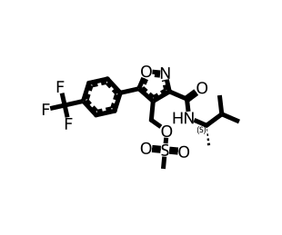 CC(C)[C@H](C)NC(=O)c1noc(-c2ccc(C(F)(F)F)cc2)c1COS(C)(=O)=O